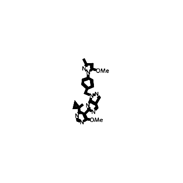 COc1ncnc(C2(C)CC2)c1-c1ncc2cnn(Cc3ccc(-n4nc(C)cc4OC)cc3)c2n1